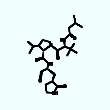 CC(C)CC(=O)N[C@H](C(=O)N1CC[C@H](C(C)C)[C@H]1C(=O)N[C@H](C=O)C[C@@H]1CCNC1=O)C(C)(C)C